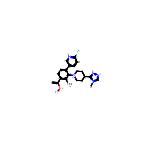 C=C(OCC)c1ccc(-c2ccc(F)nc2)c(N2CCC(c3nncn3C)CC2)c1C#N